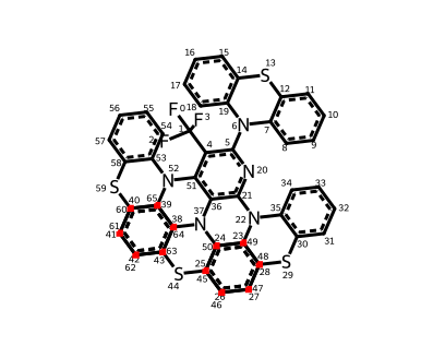 FC(F)(F)c1c(N2c3ccccc3Sc3ccccc32)nc(N2c3ccccc3Sc3ccccc32)c(N2c3ccccc3Sc3ccccc32)c1N1c2ccccc2Sc2ccccc21